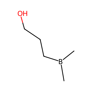 CB(C)CCCO